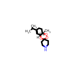 CC(C)C1=C[C@H]2OC3(CCNCC3)OO[C@@]2(C)CC1